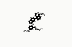 COc1ccc(OC2CCc3ccc(-c4cccc5c(N)nccc45)cc32)c(CC(=O)O)c1